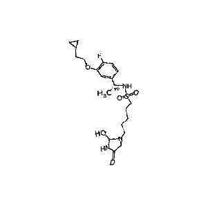 C[C@@H](NS(=O)(=O)CCCCCN1CC(=O)NC1O)c1ccc(F)c(OCCC2CC2)c1